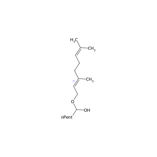 CCCCCC(O)OC/C=C(\C)CCC=C(C)C